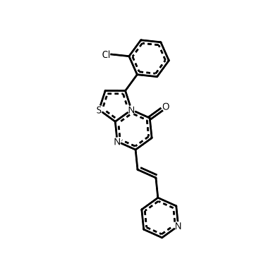 O=c1cc(/C=C/c2cccnc2)nc2scc(-c3ccccc3Cl)n12